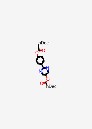 CCCCCCCCCCCC(=O)Oc1ccc(-c2ncc(OC(=O)CCCCCCCCCC)cn2)cc1